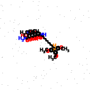 COc1ccc([PH](CCCCCCCCCCCC(=O)Nc2ccc3c(c2O)C(=O)C2=C(O)[C@]4(O)C(=O)C(C(N)=O)=C(O)[C@@H](N(C)C)[C@@H]4[C@@H](O)[C@@H]2[C@H]3C)(c2ccc(OC)cc2)c2ccc(OC)cc2)cc1